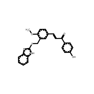 COc1ccc(C=CC(=O)c2ccc(O)cc2)cc1CSc1nc2ccccc2[nH]1